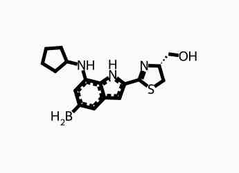 Bc1cc(NC2CCCC2)c2[nH]c(C3=N[C@H](CO)CS3)cc2c1